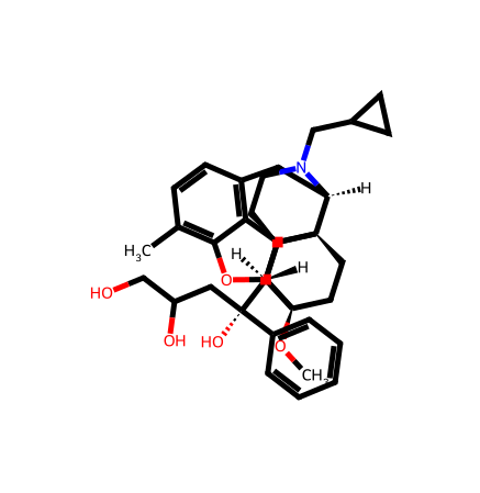 CO[C@]12CC[C@@]3(C[C@@H]1[C@](O)(CC(O)CO)c1ccccc1)[C@H]1Cc4ccc(C)c5c4[C@@]3(CCN1CC1CC1)[C@H]2O5